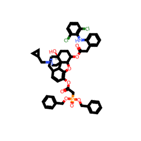 O=C(CP(=O)(OCc1ccccc1)OCc1ccccc1)OC1=C2OC3C(OC(=O)Cc4ccccc4Nc4c(Cl)cccc4Cl)CC[C@@]4(O)C5CC(C=C1)C2C34CCN5CC1CC1